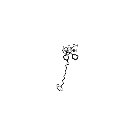 O=C(O)NC(c1ccccc1)(c1cccc(OCCCCCCCCC2OCCO2)c1)[C@H]1CN2CCC1CC2